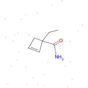 CCC1(C(N)=O)C=CC1